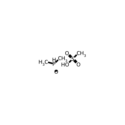 CS(=O)(=O)O.C[PH](C)=O